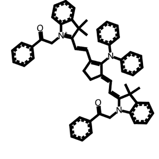 CC1(C)C(/C=C/C2=C(N(c3ccccc3)c3ccccc3)C(=C/C=C3/N(CC(=O)c4ccccc4)c4ccccc4C3(C)C)/CC2)=[N+](CC(=O)c2ccccc2)c2ccccc21